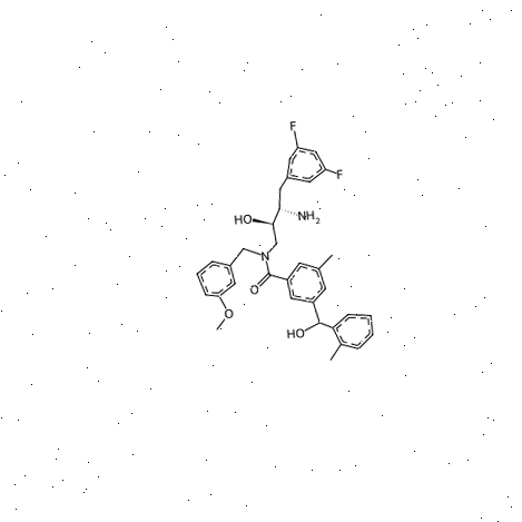 COc1cccc(CN(C[C@@H](O)[C@@H](N)Cc2cc(F)cc(F)c2)C(=O)c2cc(C)cc(C(O)c3ccccc3C)c2)c1